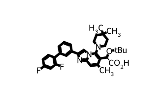 Cc1cc2nc(-c3cccc(-c4ccc(F)cc4F)c3)cn2c(N2CCC(C)(C)CC2)c1[C@H](OC(C)(C)C)C(=O)O